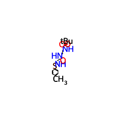 Cc1ccc(SNCC(=O)NCCNC(=O)OC(C)(C)C)cc1